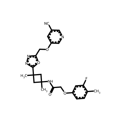 Cc1ccc(OCC(=O)NC2(C)CC(C)(c3nnc(COc4cncc(C#N)c4)o3)C2)cc1F